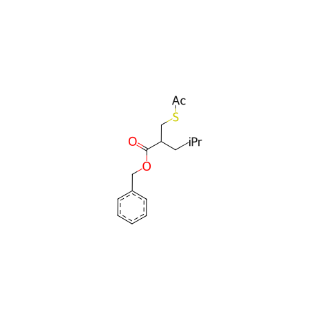 CC(=O)SCC(CC(C)C)C(=O)OCc1ccccc1